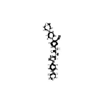 N#Cc1cc(NC(=O)Nc2cn(-c3ccc(N4CCOCC4)cc3)nn2)ccc1N1CCC(N2CCOCC2)CC1